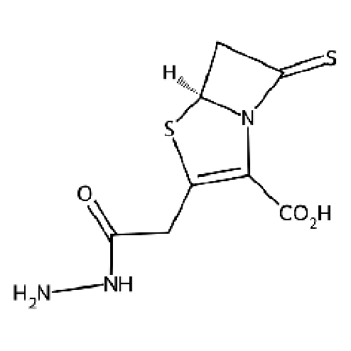 NNC(=O)CC1=C(C(=O)O)N2C(=S)C[C@@H]2S1